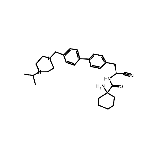 CC(C)N1CCN(Cc2ccc(-c3ccc(C[C@@H](C#N)NC(=O)C4(N)CCCCC4)cc3)cc2)CC1